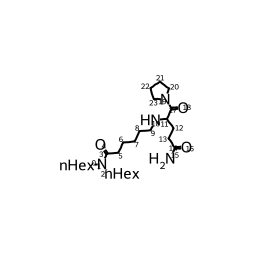 CCCCCCN(CCCCCC)C(=O)CCCCCNC(CCC(N)=O)C(=O)N1CCCC1